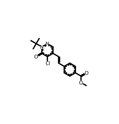 COC(=O)c1ccc(C=Cc2cnn(C(C)(C)C)c(=O)c2Cl)cc1